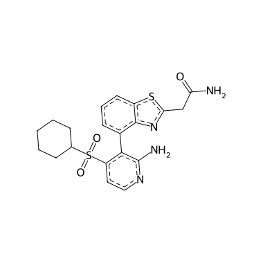 NC(=O)Cc1nc2c(-c3c(S(=O)(=O)C4CCCCC4)ccnc3N)cccc2s1